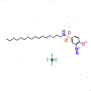 CCCCCCCCCCCCCCCCNS(=O)(=O)c1ccc(OC)c([N+]#N)c1.F[B-](F)(F)F